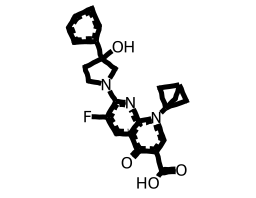 O=C(O)c1cn(C23CC(C2)C3)c2nc(N3CCC(O)(c4ccccc4)C3)c(F)cc2c1=O